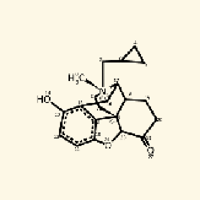 C[N@+]1(CC2CC2)CC[C@@]23c4c5ccc(O)c4CC1C2CCC(=O)C3O5